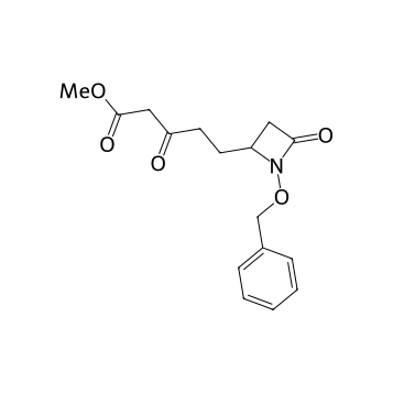 COC(=O)CC(=O)CCC1CC(=O)N1OCc1ccccc1